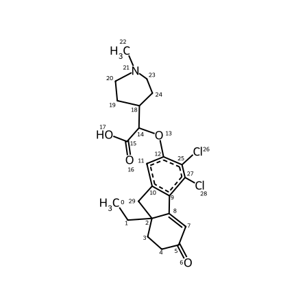 CCC12CCC(=O)C=C1c1c(cc(OC(C(=O)O)C3CCN(C)CC3)c(Cl)c1Cl)C2